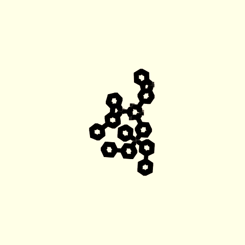 c1ccc(-c2cccc([Si](c3ccccc3)(c3cccc(-c4ccccc4)c3)c3cccc(-c4nc(-c5ccc6sc7ccccc7c6c5)nc(-n5c6ccccc6c6cc(-c7ccccc7)ccc65)n4)c3)c2)cc1